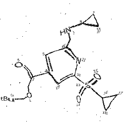 CC(C)(C)OC(=O)c1cc(NC2CC2)nc(S(=O)(=O)C2CC2)c1